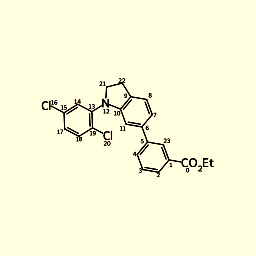 CCOC(=O)c1cccc(-c2ccc3c(c2)N(c2cc(Cl)ccc2Cl)CC3)c1